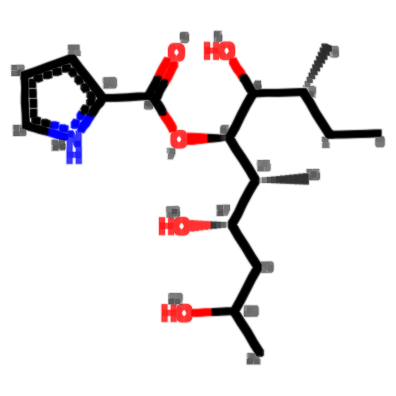 CC[C@@H](C)C(O)[C@H](OC(=O)c1ccc[nH]1)[C@H](C)[C@@H](O)CC(C)O